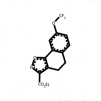 CCOC(=O)c1noc2c1CCc1ccc(OC(F)(F)F)cc1-2